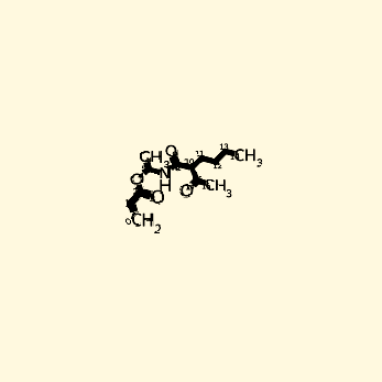 C=CC(=O)OC(C)NC(=O)C(CCCC)C(C)=O